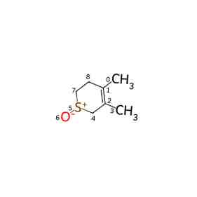 CC1=C(C)C[S+]([O-])CC1